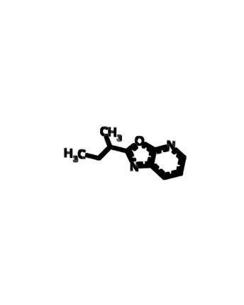 CCC(C)c1nc2cccnc2o1